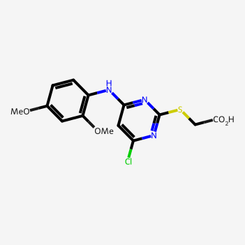 COc1ccc(Nc2cc(Cl)nc(SCC(=O)O)n2)c(OC)c1